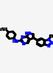 CC(=O)N[C@H]1CC[C@@H](Nc2ncc3c(-c4ccc5nnn(C)c5c4)c[nH]c3n2)CC1